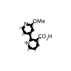 COc1cc(-c2ncccc2C(=O)O)ccn1